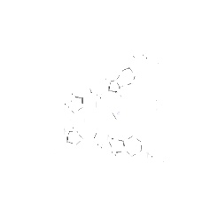 CCn1nc(C)cc1C(=O)Nc1nc2cc(N)ccc2n1C/C=C/Cn1c(NC(=O)c2cc(C)nn2CC)nc2cc(C(N)=O)cc(OCC3CC3)c21